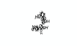 NC(=O)c1ncn([C@@H]2O[C@H](/C=C/P(=O)(O)OC3C=CC=CC3O)[C@@H](O)[C@H]2O)n1